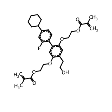 C=C(C)C(=O)OCCOc1cc(-c2ccc(C3CCCCC3)cc2F)c(OCCOC(=O)C(=C)C)cc1CCO